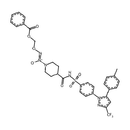 Cc1ccc(-c2cc(C(F)(F)F)nn2-c2ccc(S(=O)(=O)NC(=O)C3CCN([N+]([O-])=NOCOC(=O)c4ccccc4)CC3)cc2)cc1